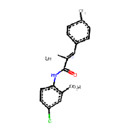 C/C(=C\c1ccc(C(F)(F)F)cc1)C(=O)Nc1ccc(Cl)cc1C(=O)O.[LiH]